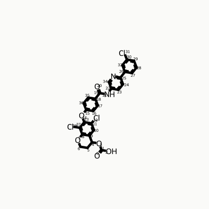 O=C(O)OC1CCOc2c1cc(Cl)c(Oc1ccc(C(=O)Nc3ccc(-c4cccc(Cl)c4)nc3)cc1)c2Cl